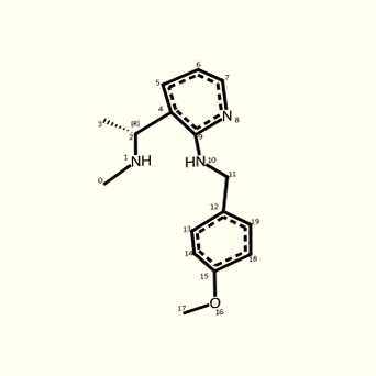 CN[C@H](C)c1cccnc1NCc1ccc(OC)cc1